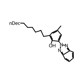 CCCCCCCCCCCCCCCCc1cc(C)cc(-n2nc3ccccc3n2)c1O